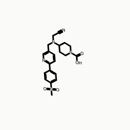 CS(=O)(=O)c1ccc(-c2ccc(CN(CC#N)C3CCN(C(=O)O)CC3)cn2)cc1